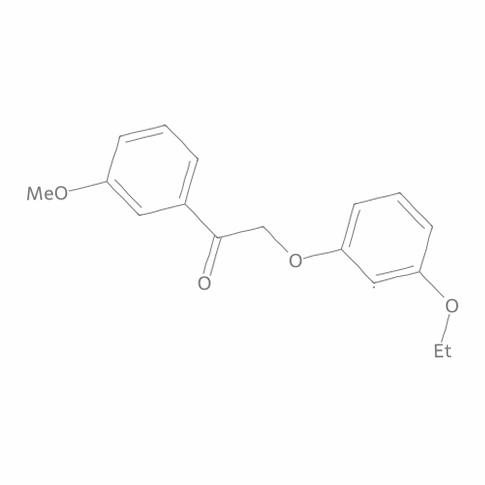 CCOc1[c]c(OCC(=O)c2cccc(OC)c2)ccc1